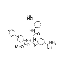 COC(=O)C1(NCc2nc3cc(C(=N)N)ccc3n2CC(=O)NC2CCCCC2)CCN(c2ccncc2)CC1.Cl.Cl